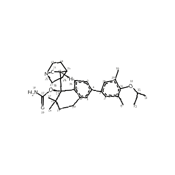 Cc1cc(-c2ccc3c(c2)CCC(C)(C)[C@]3(OC(N)=O)[C@@H]2CN3CCC2CC3)cc(C)c1OC(C)C